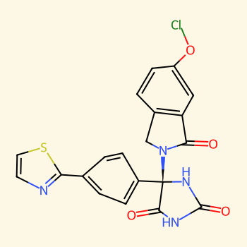 O=C1NC(=O)[C@@](c2ccc(-c3nccs3)cc2)(N2Cc3ccc(OCl)cc3C2=O)N1